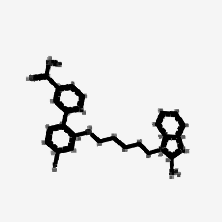 COC(=O)c1ccnc(-c2ccc(F)cc2OCCCCCn2c(N)nc3ccccc32)c1